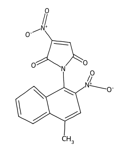 Cc1cc([N+](=O)[O-])c(N2C(=O)C=C([N+](=O)[O-])C2=O)c2ccccc12